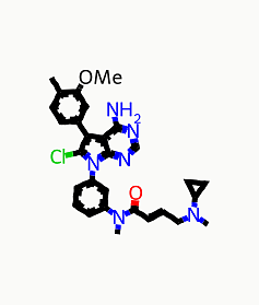 COc1cc(-c2c(Cl)n(-c3cccc(N(C)C(=O)/C=C/CN(C)C4CC4)c3)c3ncnc(N)c23)ccc1C